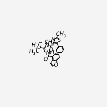 Cc1nc(C(=O)N(C)[C@@H](CNC(=O)c2cccc3occc23)C(C)C)c(-c2ccccc2)s1